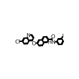 O=C(Nc1cccc(I)c1)c1ccc2cc(Oc3ccnc4cc(Cl)ccc34)ccc2c1